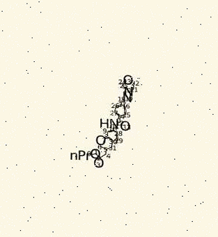 CCCOC(=O)CC1COc2cc(NC(=O)c3ccc(C=NN4CCOCC4)cc3)ccc2C1